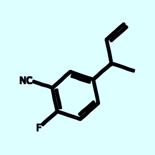 C=C[C](C)c1ccc(F)c(C#N)c1